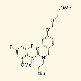 COCCOCOc1ccc(CN(CCC(C)(C)C)C(=O)Nc2c(F)cc(F)cc2OC)cc1